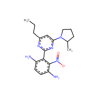 CCCc1cc(N2CCCC2C)nc(-c2c(N)ccc(N)c2[N+](=O)[O-])n1